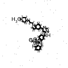 CN1CCN(CCCn2ccc3cc(-c4cc(Nc5ccc(N(OC=O)S(=O)(=O)c6c(F)cccc6F)cc5)ncn4)ccc32)CC1